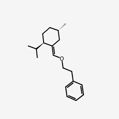 CC(C)[C@H]1CC[C@H](C)CC1=COCCc1ccccc1